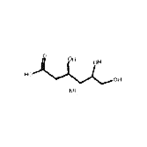 N.O=C(O)CC(O)CC(O)CO